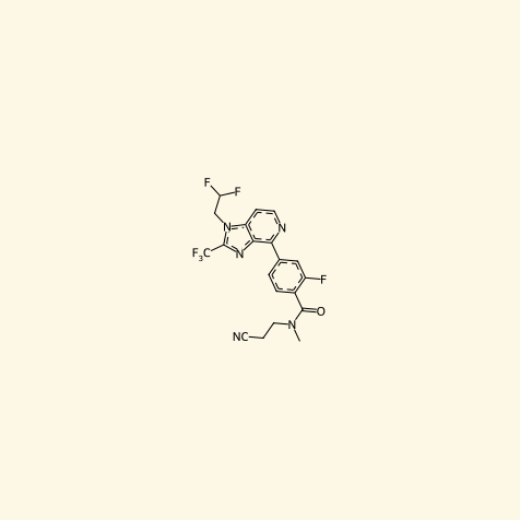 CN(CCC#N)C(=O)c1ccc(-c2nccc3c2nc(C(F)(F)F)n3CC(F)F)cc1F